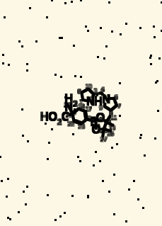 C1CN[C@H](CN2CCCC2)C1.CC1(C)OB(C2=CCC(N)(C(=O)O)C=C2)OC1(C)C